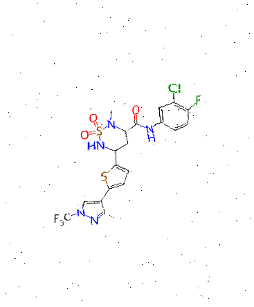 CN1C(C(=O)Nc2ccc(F)c(Cl)c2)CC(c2ccc(-c3cnn(C(F)(F)F)c3)s2)NS1(=O)=O